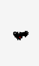 C[C@]1(O)C[C@@H](n2cnc3ccc(Oc4ccc(C(F)(F)F)cc4)cc32)C1